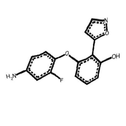 Nc1ccc(Oc2cccc(O)c2-c2ccno2)c(F)c1